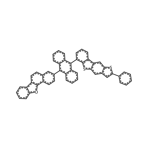 c1ccc(-c2cc3cc4sc5c(-c6c7ccccc7c(-c7ccc8c(ccc9c%10ccccc%10oc89)c7)c7ccccc67)cccc5c4cc3s2)cc1